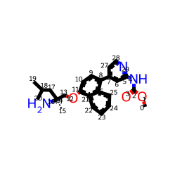 COC(=O)Nc1cc(-c2ccc(OC[C@@](C)(N)CC(C)C)c3ccccc23)ccn1